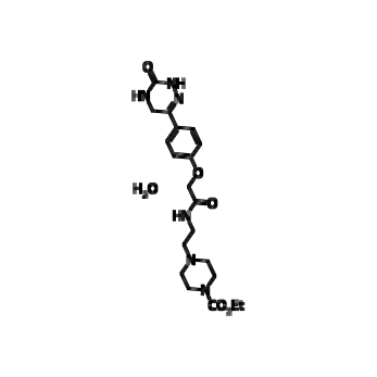 CCOC(=O)N1CCN(CCNC(=O)COc2ccc(C3=NNC(=O)NC3)cc2)CC1.O